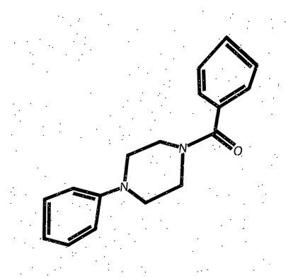 O=C(c1ccccc1)N1CCN(c2cc[c]cc2)CC1